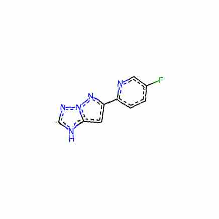 Fc1ccc(-c2cc3[nH][c]nn3n2)nc1